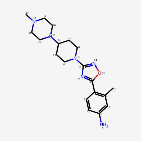 Cc1cc(N)ccc1-c1nc(N2CCC(N3CCN(C)CC3)CC2)no1